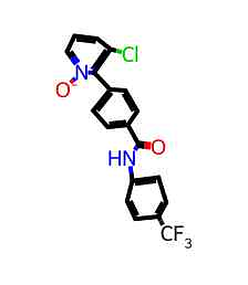 O=C(Nc1ccc(C(F)(F)F)cc1)c1ccc(-c2c(Cl)ccc[n+]2[O-])cc1